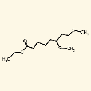 CCOC(=O)CCCCC(CCSC)SC